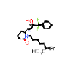 CC(C)C(CCCCCN1C(=O)CCC[C@@H]1/C=C/[C@@H](O)C(F)(F)c1ccccc1)C(=O)O